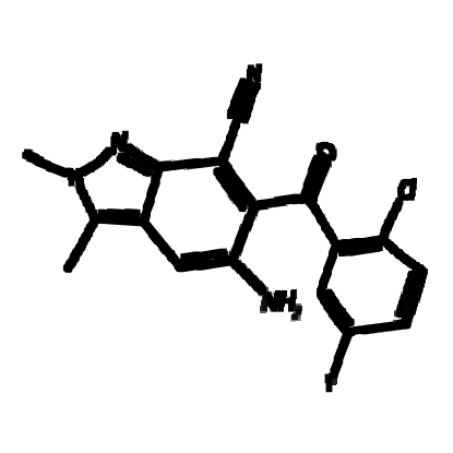 Cc1c2cc(N)c(C(=O)c3cc(F)ccc3Cl)c(C#N)c2nn1C